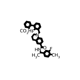 Cc1ccc([C@H](C)NC(=O)c2ccc3c(c2)CCCN3Cc2cccc(-c3ccccc3C(=O)O)c2F)cc1F